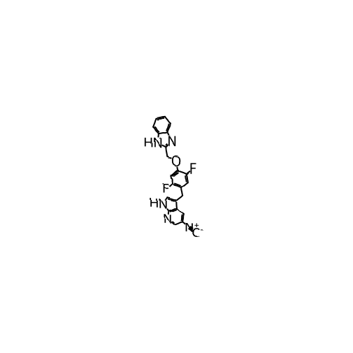 [C-]#[N+]c1cnc2[nH]cc(Cc3cc(F)c(OCc4nc5ccccc5[nH]4)cc3F)c2c1